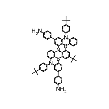 CC(C)(C)c1ccc(N2c3cc(-c4ccc(N)cc4)ccc3B3c4cc(C(C)(C)C)cc5c4N(c4cccc2c43)c2cc(-c3ccc(N)cc3)cc3c2B5c2ccccc2N3c2ccc(C(C)(C)C)cc2)cc1